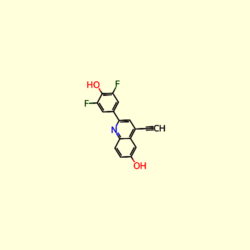 C#Cc1cc(-c2cc(F)c(O)c(F)c2)nc2ccc(O)cc12